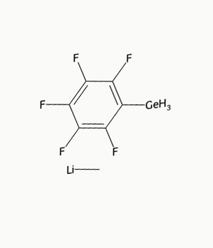 Fc1c(F)c(F)[c]([GeH3])c(F)c1F.[Li][CH3]